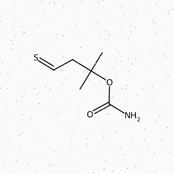 CC(C)(CC=S)OC(N)=O